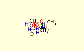 CCCNC(=O)C(F)(F)C(O)C(NC(=O)Cn1c(-c2ccccc2)ncc(NC(C)=O)c1=O)C(C)C